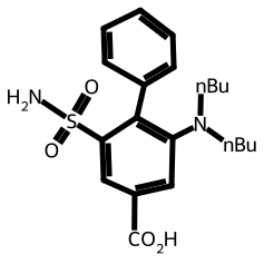 CCCCN(CCCC)c1cc(C(=O)O)cc(S(N)(=O)=O)c1-c1ccccc1